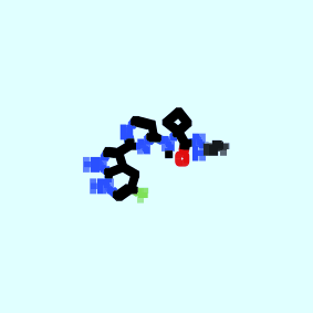 CCCNC(=O)C1(N(C)c2ccnc(C3=CNC4NC=C(F)CC34)n2)CCC1